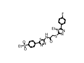 CCn1c(SCC(=O)Nc2nnc(-c3ccc(S(=O)(=O)CC)cc3)s2)nnc1-c1ccc(F)cc1